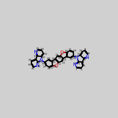 c1cnc2c(c1)c1ncccc1n2-c1ccc2oc3cc4c(cc3c2c1)oc1ccc(-n2c3cccnc3c3cccnc32)cc14